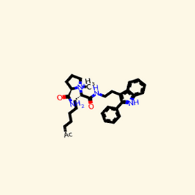 CC(=O)CCCCC[C@@H](C(=O)NCCc1c(-c2ccccc2)[nH]c2ccccc12)[N+]1(C)CCC[C@@H]1C(N)=O